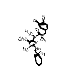 CN(Cc1ccc(Cl)c(Cl)c1)C(=O)N(C)c1nc(NCC2(O)CCCCC2)n(C)c1C=O